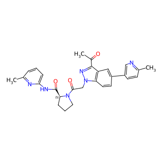 CC(=O)c1nn(CC(=O)N2CCC[C@H]2C(=O)Nc2cccc(C)n2)c2ccc(-c3ccc(C)nc3)cc12